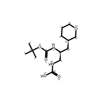 CC(C)(C)OC(=O)N[C@H](CNC(=O)O)C[C@H]1CCCOC1